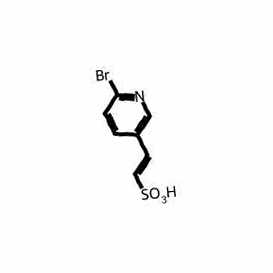 O=S(=O)(O)C=Cc1ccc(Br)nc1